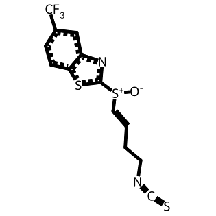 [O-][S+](C=CCCN=C=S)c1nc2cc(C(F)(F)F)ccc2s1